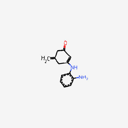 C=C1CC(=O)C=C(Nc2ccccc2N)C1